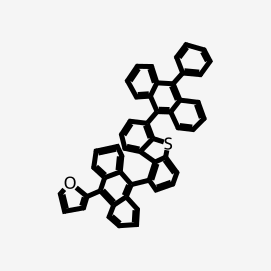 c1ccc(-c2c3ccccc3c(-c3cccc4c3sc3cccc(-c5c6ccccc6c(-c6ccco6)c6ccccc56)c34)c3ccccc23)cc1